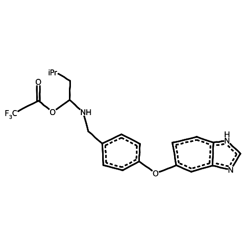 CC(C)CC(NCc1ccc(Oc2ccc3[nH]cnc3c2)cc1)OC(=O)C(F)(F)F